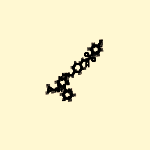 O=S(=O)(NCC1CCC(CNC2N=CN(NC3CC3)C(c3ccccn3)=N2)CC1)c1ccc(F)cc1